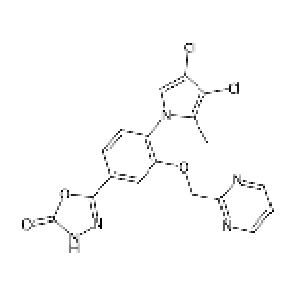 Cc1c(Cl)c(Cl)cn1-c1ccc(-c2n[nH]c(=O)o2)cc1OCc1ncccn1